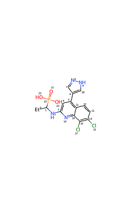 CCC(Nc1cc(-c2cn[nH]c2)c2ccc(Cl)c(Cl)c2n1)P(=O)(O)O